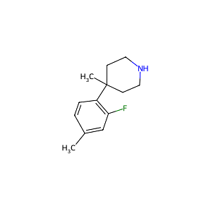 Cc1ccc(C2(C)CCNCC2)c(F)c1